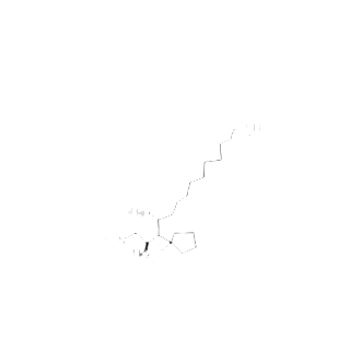 CCCCCCC(CCCCCCCCCC(=O)O)C(C(=O)CN)C1(C(=O)O)CCCC1